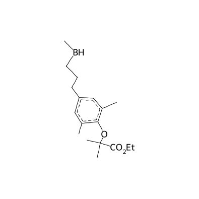 CBCCCc1cc(C)c(OC(C)(C)C(=O)OCC)c(C)c1